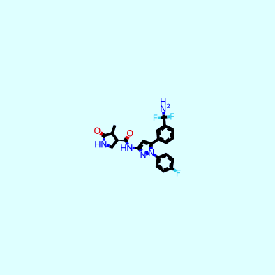 CC1C(=O)NC[C@@H]1C(=O)Nc1cc(-c2cccc(C(N)(F)F)c2)n(-c2ccc(F)cc2)n1